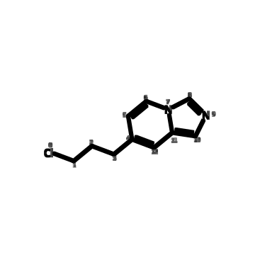 ClCCCc1ccn2cncc2c1